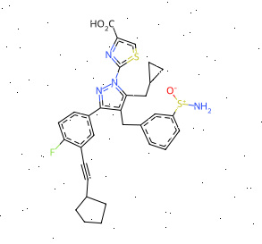 N[S+]([O-])c1cccc(Cc2c(-c3ccc(F)c(C#CC4CCCC4)c3)nn(-c3nc(C(=O)O)cs3)c2CC2CC2)c1